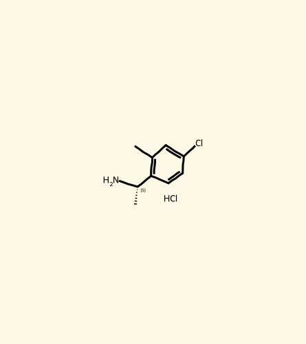 Cc1cc(Cl)ccc1[C@H](C)N.Cl